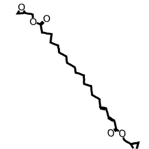 O=C(C=CC=CCCCCCCCCCCCCCCC(=O)OCC1CO1)OCC1CO1